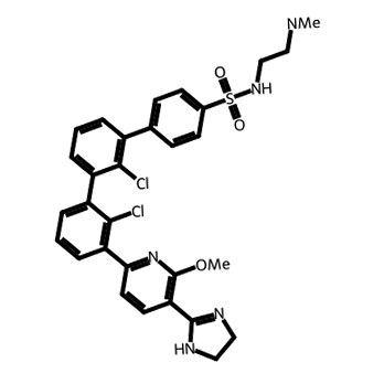 CNCCNS(=O)(=O)c1ccc(-c2cccc(-c3cccc(-c4ccc(C5=NCCN5)c(OC)n4)c3Cl)c2Cl)cc1